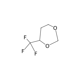 FC(F)(F)C1CCOCO1